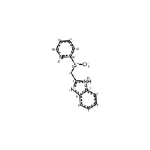 [O-][S+](Cc1nc2ccccc2[nH]1)c1ccccn1